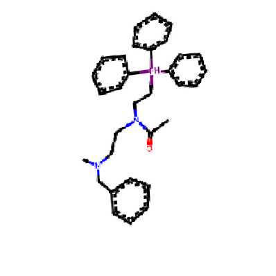 CC(=O)N(CCN(C)Cc1ccccc1)CC[PH](c1ccccc1)(c1ccccc1)c1ccccc1